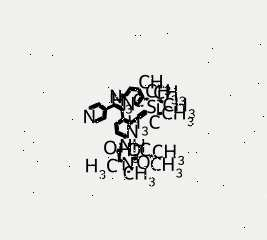 Cc1ccn2c(-c3ccc(NC(=O)C(C)N(C)C(=O)OC(C)(C)C)nc3C#C[Si](C(C)C)(C(C)C)C(C)C)c(-c3ccncc3)nc2c1